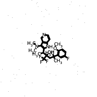 COc1ccc(F)cc1C(C)(C)CC(O)(C(C)c1[nH]c2ccncc2c1N(C)C)C(F)(F)F